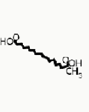 CC(CCCCCC/C=C/CCCCCCCC(=O)O)C(=O)O